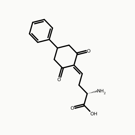 N[C@@H](CC=C1C(=O)CC(c2ccccc2)CC1=O)C(=O)O